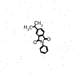 CC(C)c1ccc2c(c1)C(=O)N(c1ccccc1)C2=O